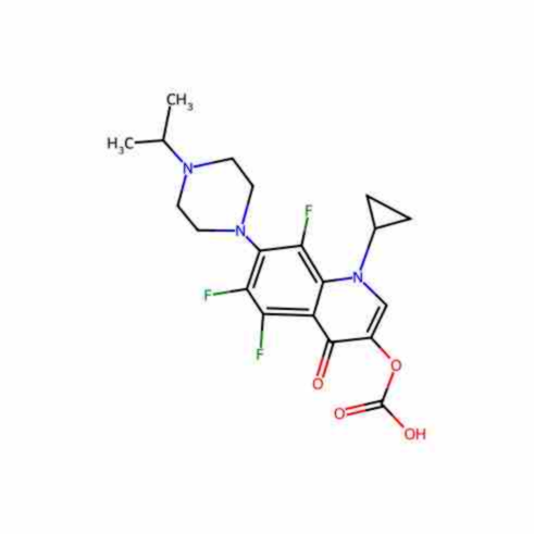 CC(C)N1CCN(c2c(F)c(F)c3c(=O)c(OC(=O)O)cn(C4CC4)c3c2F)CC1